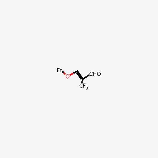 CCO/C=C(/C=O)C(F)(F)F